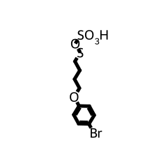 O=S(=O)(O)OSCCCCOc1ccc(Br)cc1